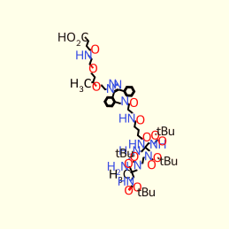 CC(CCOCCNC(=O)CCC(=O)O)OCCn1nnc2c1-c1ccccc1CN(C(=O)CCNC(=O)CCCC(=O)NC(CN)(CNC(=O)OC(C)(C)C)CN(CCN(CC(C)(CN)CNC(=O)OC(C)(C)C)C(=O)OC(C)(C)C)C(=O)OC(C)(C)C)c1ccccc1-2